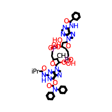 CC(C)C(=O)Nc1nc(OC(=O)N(c2ccccc2)c2ccccc2)c2ncn(C3OC4CCP(=O)(O)OC5C(CCP(=O)(O)OC3C4C)OC(n3cnc4c(NC(=O)c6ccccc6)ncnc43)C5O)c2n1